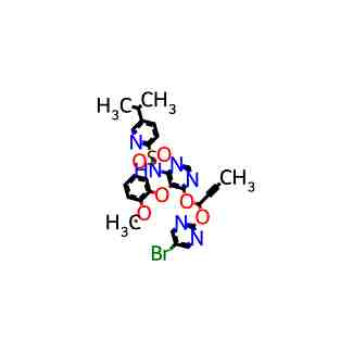 CC#CC(Oc1ncc(Br)cn1)Oc1ncnc(NS(=O)(=O)c2ccc(C(C)C)cn2)c1Oc1ccccc1OC